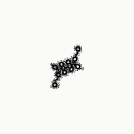 Cc1ccc(N(c2ccc(C=Cc3ccccc3)cc2)c2c3ccccc3c(-c3c4ccccc4c(N(c4ccc(C)cc4)c4ccc(C=Cc5ccccc5)cc4)c4ccccc34)c3ccccc23)cc1